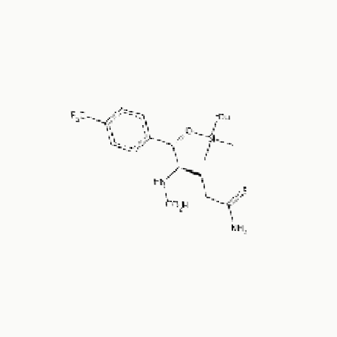 CC(C)(C)[Si](C)(C)O[C@@H](c1ccc(C(F)(F)F)cc1)[C@@H](CCC(N)=S)NC(=O)O